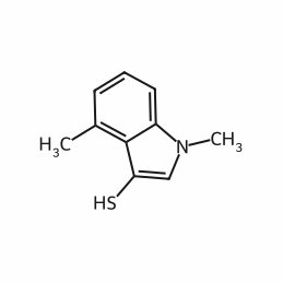 Cc1cccc2c1c(S)cn2C